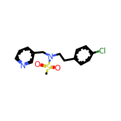 CS(=O)(=O)N(CCc1ccc(Cl)cc1)Cc1cccnc1